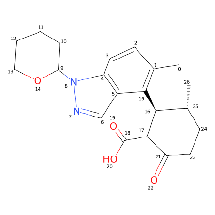 Cc1ccc2c(cnn2C2CCCCO2)c1[C@@H]1C(C(=O)O)C(=O)CC[C@H]1C